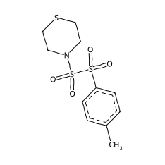 Cc1ccc(S(=O)(=O)S(=O)(=O)N2CCSCC2)cc1